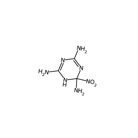 NC1=NC(N)([N+](=O)[O-])NC(N)=N1